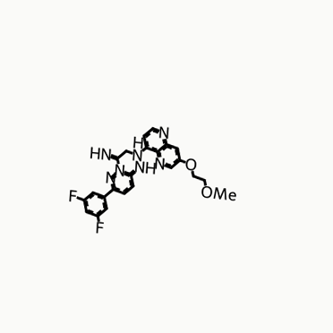 COCCOc1cnc2c(NCC(=N)n3nc(-c4cc(F)cc(F)c4)ccc3=N)ccnc2c1